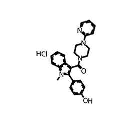 Cl.Cn1c(-c2ccc(O)cc2)c(C(=O)N2CCN(c3ccccn3)CC2)c2ccccc21